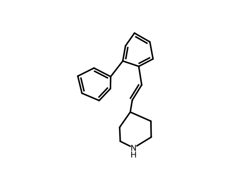 C(=CC1CCNCC1)c1ccccc1-c1ccccc1